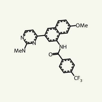 CNc1nccc(-c2cc(NC(=O)c3ccc(C(F)(F)F)cc3)c3cc(OC)ccc3c2)n1